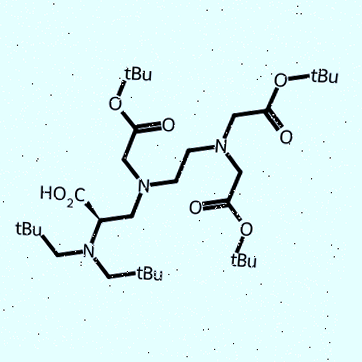 CC(C)(C)CN(CC(C)(C)C)[C@H](CN(CCN(CC(=O)OC(C)(C)C)CC(=O)OC(C)(C)C)CC(=O)OC(C)(C)C)C(=O)O